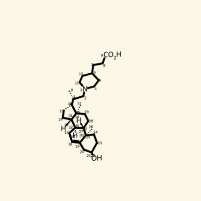 C[C@H](CN1CCC(CCC(=O)O)CC1)[C@H]1CC[C@H]2[C@@H]3CC=C4CC(O)CC[C@]4(C)[C@H]3CC[C@]12C